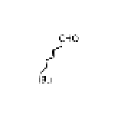 CCC(C)CCCC=CCC=O